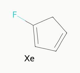 FC1=CC=CC1.[Xe]